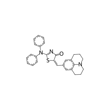 O=C1N=C(N(c2ccccc2)c2ccccc2)S/C1=C/c1cc2c3c(c1)CCCN3CCC2